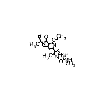 CCOc1nc(-c2sc(NC(=O)NC)nc2C)cc2c1C(=O)N([C@@H](C)C1CC1)C2